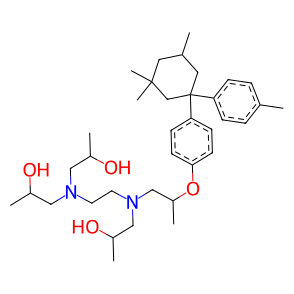 Cc1ccc(C2(c3ccc(OC(C)CN(CCN(CC(C)O)CC(C)O)CC(C)O)cc3)CC(C)CC(C)(C)C2)cc1